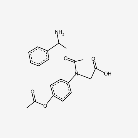 CC(=O)Oc1ccc(N(CC(=O)O)C(C)=O)cc1.CC(N)c1ccccc1